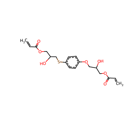 C=CC(=O)OCC(O)COc1ccc(SCC(O)COC(=O)C=C)cc1